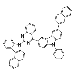 c1ccc(-n2c3ccc(-c4ccc5ccccc5c4)cc3c3cc(-c4nc(-n5c6ccccc6c6c7ccccc7ccc65)nc5ccccc45)ccc32)cc1